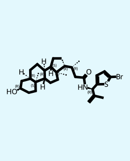 C=C(C)[C@@H](NC(=O)C[C@@H](C)[C@H]1CC[C@H]2[C@@H]3CC[C@@H]4C[C@H](O)CC[C@]4(C)[C@H]3CC[C@]12C)c1ccc(Br)s1